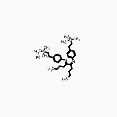 CCCCC(=Nc1ccc(CC[Si](C)(C)C)cc1)C(CCCC)=Nc1ccc(CC[Si](C)(C)C)cc1.[Pd]